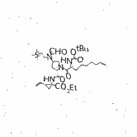 C=CCCCCC[C@H](NC(=O)OC(C)(C)C)C(=O)N1C[C@H](N(C=O)CC[Si](C)(C)C)C[C@H]1C(=O)N[C@]1(C(=O)OCC)C[C@H]1C=C